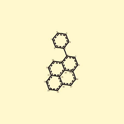 [c]1cc(-c2ccccc2)c2ccc3cccc4ccc1c2c43